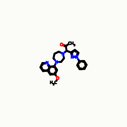 COc1cc(N2CCCN(C(C(C)=O)c3ccn(-c4ccccc4)n3)CC2)c2ncccc2c1